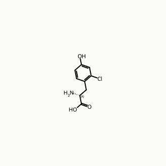 N[C@H](Cc1ccc(O)cc1Cl)C(=O)O